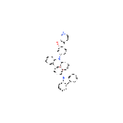 c1ccc(N(c2ccc3c(c2)oc2cnccc23)c2ccccc2-c2ccc(-n3c4ccccc4c4ccccc43)cc2)cc1